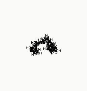 CC[C@H](C)[C@H](NC(=O)[C@H](C)N)C(=O)N[C@@H](CCC(=O)O)C(=O)N[C@@H](CCSC)C(=O)N[C@H](C(=O)N[C@@H](CCC(N)=O)C(=O)N[C@@H](CO)C(=O)N1CCC[C@H]1C(=O)N[C@@H](CO)C(=O)N[C@@H](CO)C(=O)N[C@@H](CC(C)C)C(=O)N[C@@H](C)C(=O)N[C@@H](C)C(=O)N[C@@H](CO)C(=O)N[C@H](C(=O)NCC(=O)N[C@@H](CC(=O)O)C(=O)N[C@H](C(=O)N[C@H](C(=O)N[C@H](C(=O)O)[C@@H](C)O)C(C)C)[C@@H](C)O)C(C)C)[C@@H](C)O